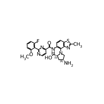 COc1cccc(F)c1-c1nccc(C(=O)Nc2ccc3sc(C)nc3c2N2C[C@H](N)C[C@H]2CO)n1